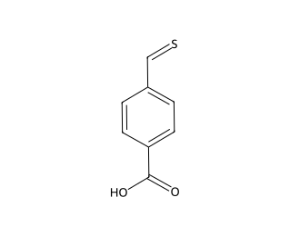 O=C(O)c1ccc(C=S)cc1